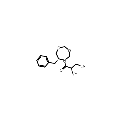 CCC[C@H](CC#N)C(=O)N1COCOC[C@@H]1Cc1ccccc1